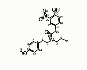 CCCN(CCc1ccc(OC)cc1)C(=O)Cc1ccc(O)c([N+](=O)[O-])c1